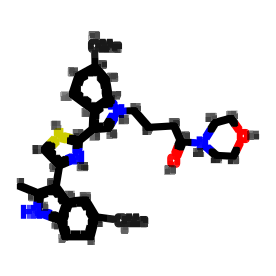 COc1ccc2[nH]c(C)c(-c3csc(-c4cn(CCCC(=O)N5CCOCC5)c5cc(OC)ccc45)n3)c2c1